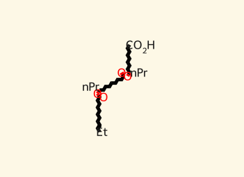 CC/C=C/CCCCCCCC(=O)OC(CCC)CCCCCCCC(=O)OC(CCC)CCCCCCCC(=O)O